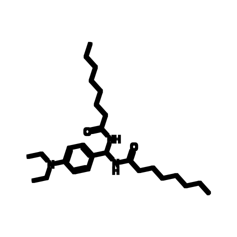 CCCCCCCC(=O)NC(NC(=O)CCCCCCC)c1ccc(N(CC)CC)cc1